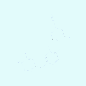 Cc1ccc(Cc2cc(C)c(=O)[nH]n2)cc1Oc1cc(F)cc(C#N)c1